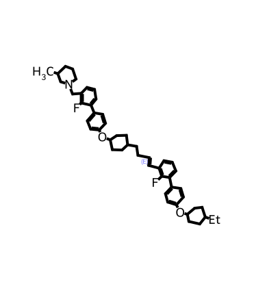 CCC1CCC(Oc2ccc(-c3cccc(/C=C/CCC4CCC(Oc5ccc(-c6cccc(CN7CCCC(C)C7)c6F)cc5)CC4)c3F)cc2)CC1